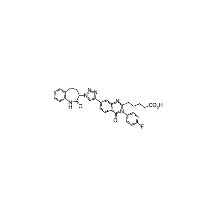 O=C(O)CCCCc1nc2cc(-c3cn(C4CCc5ccccc5NC4=O)nn3)ccc2c(=O)n1-c1ccc(F)cc1